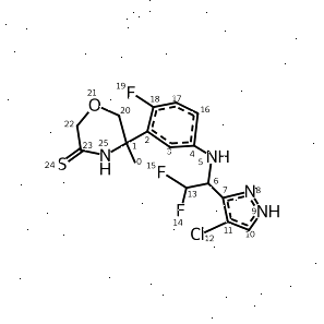 CC1(c2cc(NC(c3n[nH]cc3Cl)C(F)F)ccc2F)COCC(=S)N1